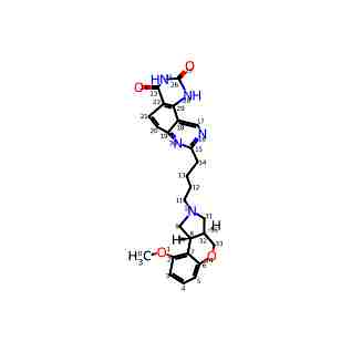 COc1cccc2c1[C@@H]1CN(CCCCc3ncc4c(ccc5c(=O)[nH]c(=O)[nH]c54)n3)C[C@H]1CO2